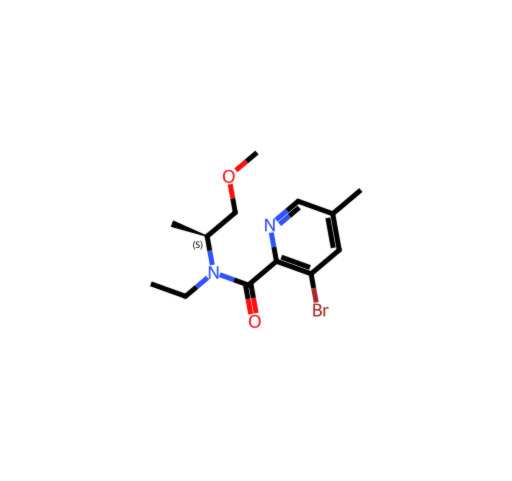 CCN(C(=O)c1ncc(C)cc1Br)[C@@H](C)COC